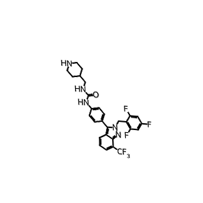 O=C(NCC1CCNCC1)Nc1ccc(-c2c3cccc(C(F)(F)F)c3nn2Cc2c(F)cc(F)cc2F)cc1